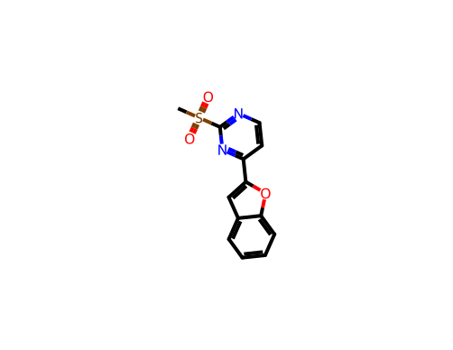 CS(=O)(=O)c1nccc(-c2cc3ccccc3o2)n1